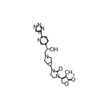 CC1=C(N2CCN(C3C4CN(C[C@H](O)c5ccc(-n6cnnn6)nc5)CC43)C2=O)COC1=O